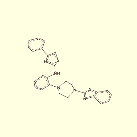 c1ccc(-c2csc(Nc3ccccc3N3CCN(c4nc5ccccc5s4)CC3)n2)cc1